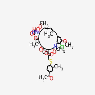 COc1cc2cc(c1Cl)N(C)C(=O)C[C@H](OC(=O)CSc1ccc(C(C)=O)cc1C)C1(C)OC1C(C)[C@@H]1C[C@@](O)(NC(=O)O1)[C@H](OC)/C=C/C=C(\C)C2